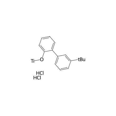 CC(C)(C)c1cccc(-c2ccccc2[O][Ti])c1.Cl.Cl